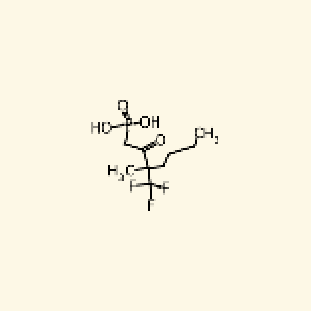 CCCCC(C)(C(=O)CP(=O)(O)O)C(F)(F)F